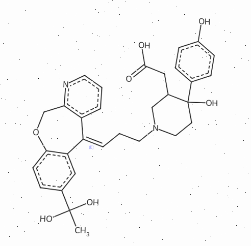 CC(O)(O)c1ccc2c(c1)/C(=C/CCN1CCC(O)(c3ccc(O)cc3)C(CC(=O)O)C1)c1cccnc1CO2